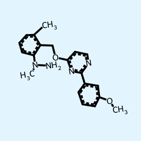 COc1cccc(-c2nccc(OCc3c(C)cccc3N(C)N)n2)c1